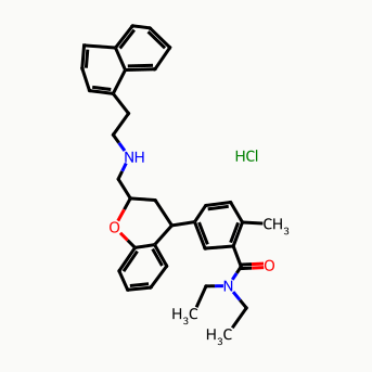 CCN(CC)C(=O)c1cc(C2CC(CNCCc3cccc4ccccc34)Oc3ccccc32)ccc1C.Cl